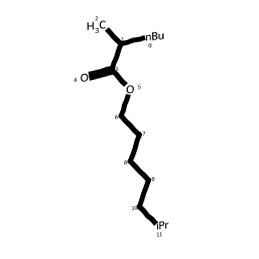 CCCCC(C)C(=O)OCCCCCC(C)C